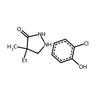 CCC1(C)CNNC1=O.Oc1ccccc1Cl